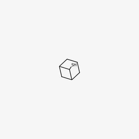 SC1C2CCCC1C2